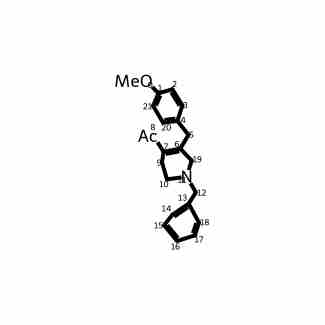 COc1ccc(CC2=C(C(C)=O)CCN(Cc3ccccc3)C2)cc1